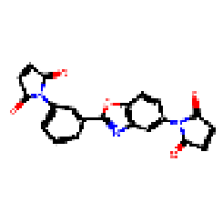 O=C1C=CC(=O)N1c1cccc(-c2nc3cc(N4C(=O)C=CC4=O)ccc3o2)c1